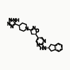 c1ccc2c(c1)CC(Nc1ncc(C3CC(N4CCC(c5nnn[nH]5)CC4)=NO3)cn1)C2